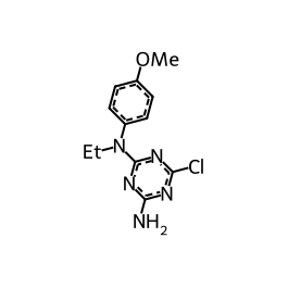 CCN(c1ccc(OC)cc1)c1nc(N)nc(Cl)n1